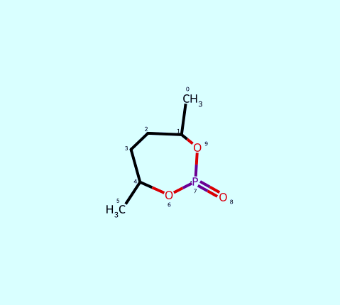 CC1CCC(C)O[P](=O)O1